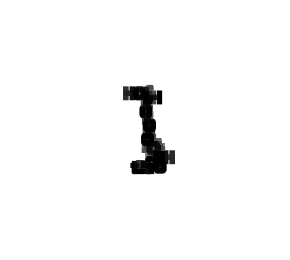 CC(O)=[SH]CCOCCOCCOc1ccc(NC(=O)OC(C)(C)C)cc1